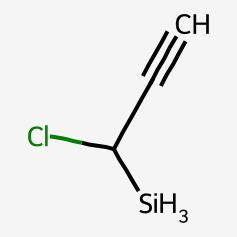 C#CC([SiH3])Cl